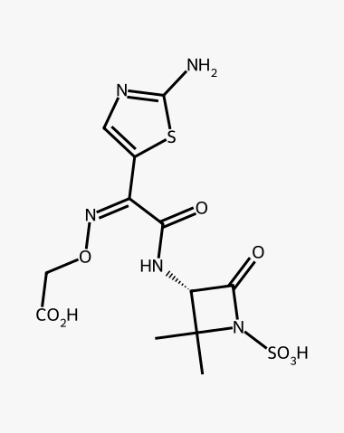 CC1(C)[C@H](NC(=O)/C(=N\OCC(=O)O)c2cnc(N)s2)C(=O)N1S(=O)(=O)O